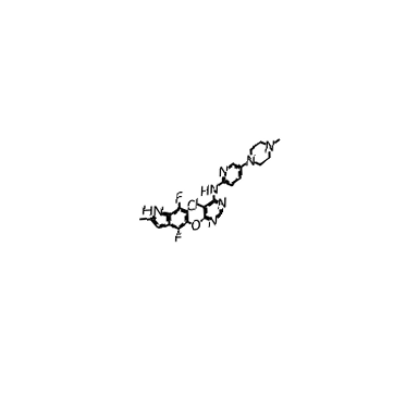 Cc1cc2c(F)c(Oc3ncnc(Nc4ccc(N5CCN(C)CC5)cn4)c3Cl)cc(F)c2[nH]1